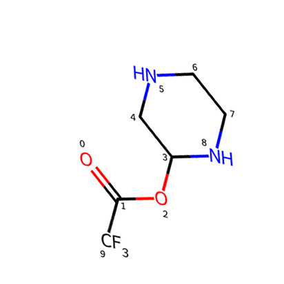 O=C(OC1CNCCN1)C(F)(F)F